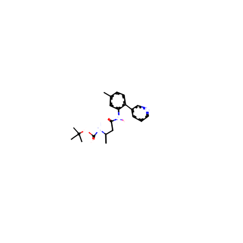 Cc1ccc(-c2cccnc2)c([NH+]([O-])C(=O)CC(C)NC(=O)OC(C)(C)C)c1